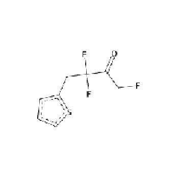 O=C(CF)C(F)(F)Cc1cccs1